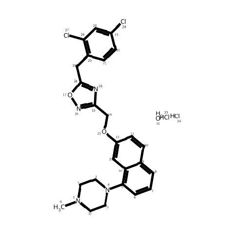 CN1CCN(c2cccc3ccc(OCc4noc(Cc5ccc(Cl)cc5Cl)n4)cc23)CC1.Cl.Cl.O